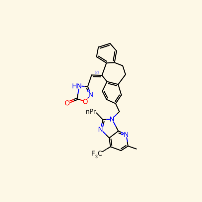 CCCc1nc2c(C(F)(F)F)cc(C)nc2n1Cc1ccc2c(c1)CCc1ccccc1/C2=C/c1noc(=O)[nH]1